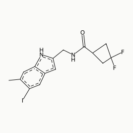 Cc1cc2[nH]c(CNC(=O)C3CC(F)(F)C3)cc2cc1I